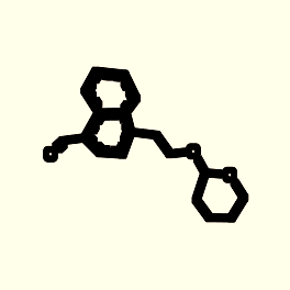 O=Cc1ccc(CCOC2CCCCO2)c2ccccc12